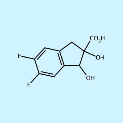 O=C(O)C1(O)Cc2cc(F)c(F)cc2C1O